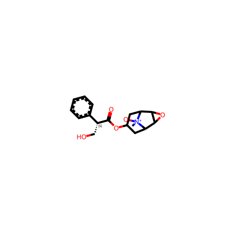 C[N+]1([O-])C2CC(OC(=O)[C@H](CO)c3ccccc3)CC1C1OC12